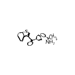 CC(N)Oc1ccc(C(=O)c2csc3ccccc23)cc1